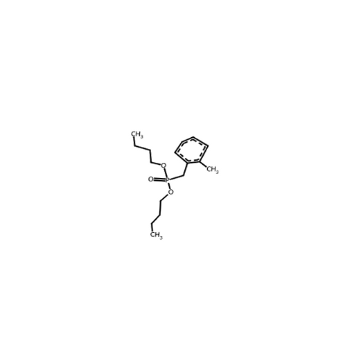 CCCCOP(=O)(Cc1ccccc1C)OCCCC